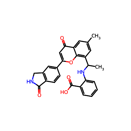 Cc1cc(C(C)Nc2ccccc2C(=O)O)c2oc(-c3ccc4c(c3)CNC4=O)cc(=O)c2c1